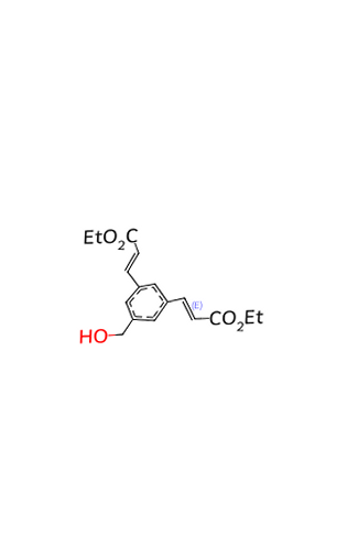 CCOC(=O)C=Cc1cc(/C=C/C(=O)OCC)cc(CO)c1